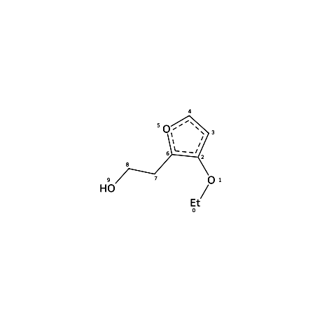 CCOc1ccoc1CCO